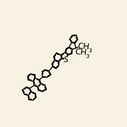 CC1(C)c2ccccc2-c2cc3c(cc21)sc1c2ccc(-c4ccc(-c5c6ccccc6c(-c6cccc7ccccc67)c6ccccc56)cc4)cc2ccc31